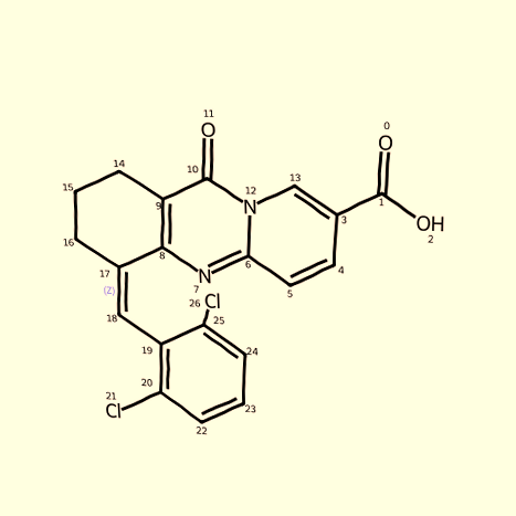 O=C(O)c1ccc2nc3c(c(=O)n2c1)CCC/C3=C/c1c(Cl)cccc1Cl